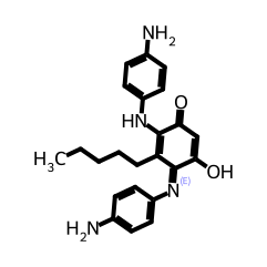 CCCCCC1=C(Nc2ccc(N)cc2)C(=O)C=C(O)/C1=N/c1ccc(N)cc1